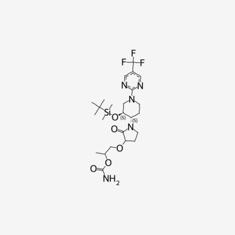 CC(COC1CCN([C@H]2CCN(c3ncc(C(F)(F)F)cn3)C[C@@H]2O[Si](C)(C)C(C)(C)C)C1=O)OC(N)=O